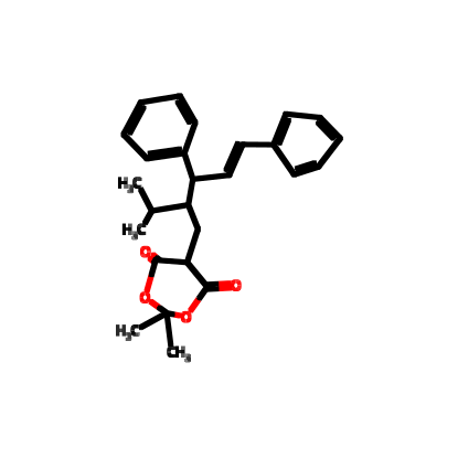 CC(C)C(CC1C(=O)OC(C)(C)OC1=O)C(/C=C/c1ccccc1)c1ccccc1